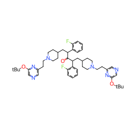 CC(C)(C)Oc1cncc(CCN2CCC(CC(C(=O)C(CC3CCN(CCc4cncc(OC(C)(C)C)n4)CC3)c3ccccc3F)c3ccccc3F)CC2)n1